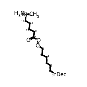 CCCCCCCCCCCCCCCCOOC(=O)CCCCN(C)C